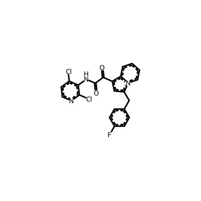 O=C(Nc1c(Cl)ccnc1Cl)C(=O)c1cc(Cc2ccc(F)cc2)n2ccccc12